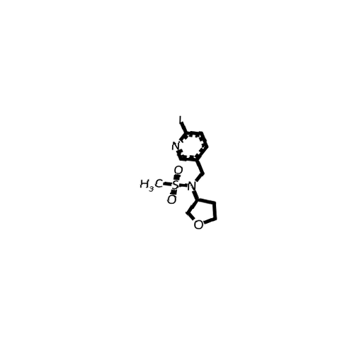 CS(=O)(=O)N(Cc1ccc(I)nc1)C1CCOC1